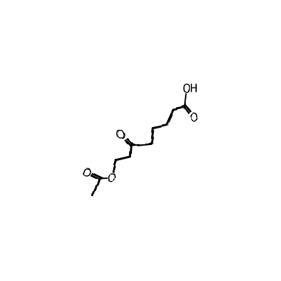 CC(=O)OCCC(=O)CCCCC(=O)O